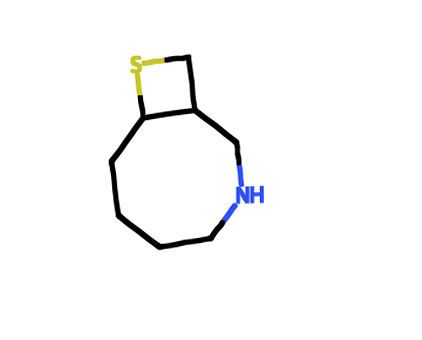 C1CCC2SCC2CNC1